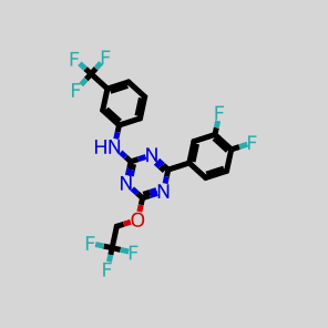 Fc1ccc(-c2nc(Nc3cccc(C(F)(F)F)c3)nc(OCC(F)(F)F)n2)cc1F